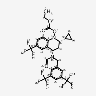 CCOC(=O)ON1c2ccc(C(F)(F)F)cc2[C@@H](N(C=O)Cc2cc(C(F)(F)F)cc(C(F)(F)F)c2)C[C@H]1C1CC1